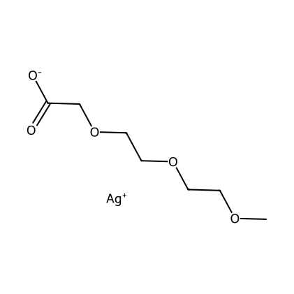 COCCOCCOCC(=O)[O-].[Ag+]